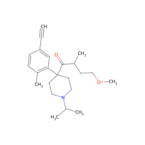 C#Cc1ccc(C)c(C2(C(=O)C(C)CCOC)CCN(C(C)C)CC2)c1